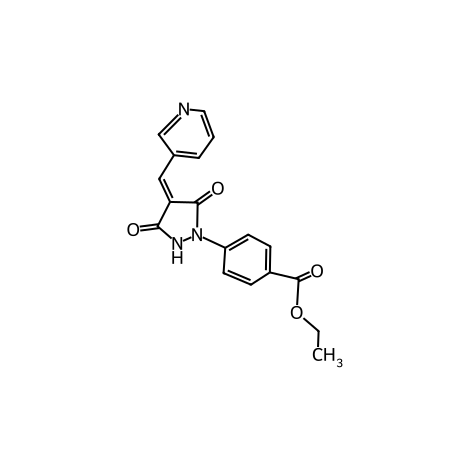 CCOC(=O)c1ccc(N2NC(=O)C(=Cc3cccnc3)C2=O)cc1